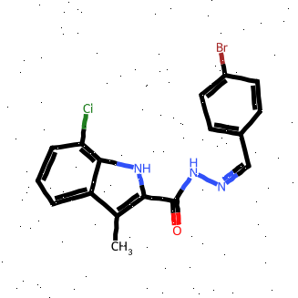 Cc1c(C(=O)N/N=C\c2ccc(Br)cc2)[nH]c2c(Cl)cccc12